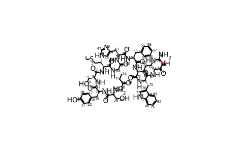 CSCC[C@H](NC(=O)[C@H](CO)NC(=O)[C@H](Cc1ccc(O)cc1)NC(=O)[C@@H](N)CO)C(=O)N[C@@H](CCC(=O)O)C(=O)N[C@@H](Cc1c[nH]cn1)C(=O)N[C@@H](Cc1ccccc1)C(=O)N[C@@H](CCCNC(=N)N)C(=O)N[C@@H](Cc1c[nH]c2ccccc12)C(=O)NCC(C)=O